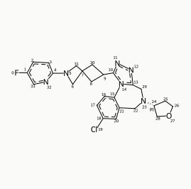 Fc1ccc(N2CC3(CC(c4nnc5n4-c4ccc(Cl)cc4CN([C@@H]4CCOC4)C5)C3)C2)nc1